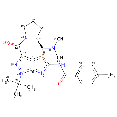 Cc1ccc(C(=O)Nc2nc3c(s2)c(C(=O)N2CCC[C@H]2CN(C)C)nn3C(C)(C)C)cc1